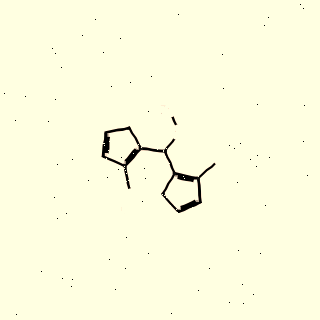 CC1=C(C([O][Zr])C2=C(C)C=CC2)CC=C1.Cl